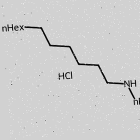 CCCCCCCCCCCCNCCC.Cl